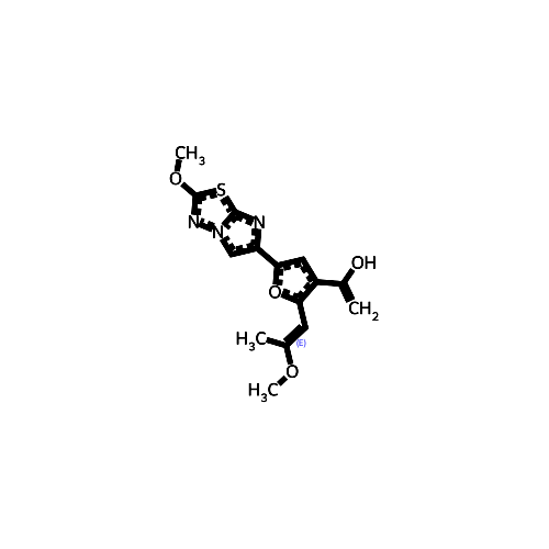 C=C(O)c1cc(-c2cn3nc(OC)sc3n2)oc1/C=C(\C)OC